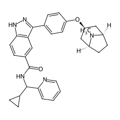 CN1[C@@H]2CC[C@H]1C[C@@H](Oc1ccc(-c3n[nH]c4ccc(C(=O)NC(c5ccccn5)C5CC5)cc34)cc1)C2